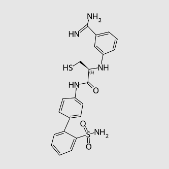 N=C(N)c1cccc(N[C@H](CS)C(=O)Nc2ccc(-c3ccccc3S(N)(=O)=O)cc2)c1